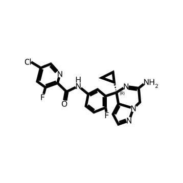 NC1=N[C@@](c2cc(NC(=O)c3ncc(Cl)cc3F)ccc2F)(C2CC2)c2ccnn2C1